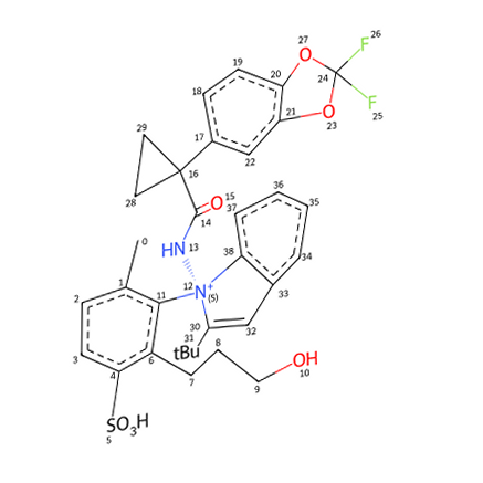 Cc1ccc(S(=O)(=O)O)c(CCCO)c1[N@+]1(NC(=O)C2(c3ccc4c(c3)OC(F)(F)O4)CC2)C(C(C)(C)C)=Cc2ccccc21